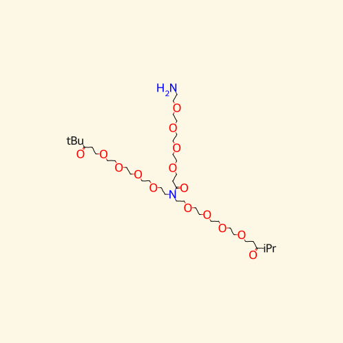 CC(C)C(=O)CCOCCOCCOCCOCCN(CCOCCOCCOCCOCCC(=O)C(C)(C)C)C(=O)CCOCCOCCOCCOCCN